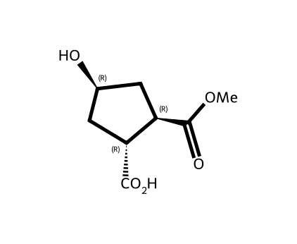 COC(=O)[C@@H]1C[C@H](O)C[C@H]1C(=O)O